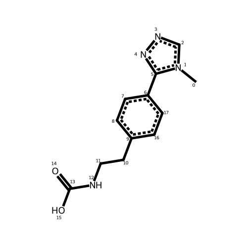 Cn1cnnc1-c1ccc(CCNC(=O)O)cc1